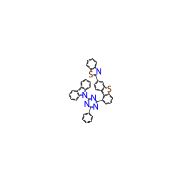 c1ccc(-c2nc(-c3cccc4sc5cc(-c6nc7ccccc7s6)ccc5c34)nc(-n3c4ccccc4c4ccccc43)n2)cc1